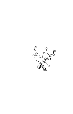 CCOC(=O)C1=C[C@@H](OC(CC)CC)[C@H](C)C([N+](=O)[O-])C1